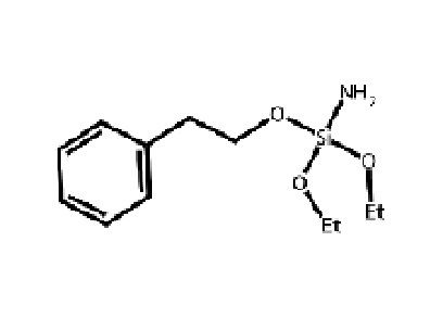 CCO[Si](N)(OCC)OCCc1ccccc1